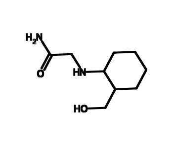 NC(=O)CNC1CCCCC1CO